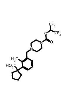 Cc1c(CN2CCN(C(=O)OC(C(F)(F)F)C(F)(F)F)CC2)cccc1C1(C(=O)O)CCCC1